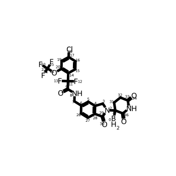 BC1(N2Cc3cc(CNC(=O)C(F)(F)c4ccc(Cl)cc4OC(F)(F)F)ccc3C2=O)CCC(=O)NC1=O